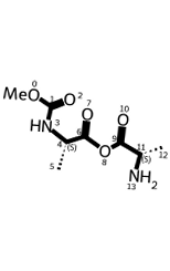 COC(=O)N[C@@H](C)C(=O)OC(=O)[C@H](C)N